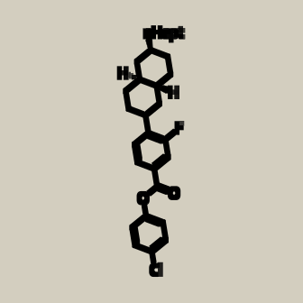 CCCCCCC[C@H]1CC[C@@H]2CC(c3ccc(C(=O)Oc4ccc(Cl)cc4)cc3F)CC[C@H]2C1